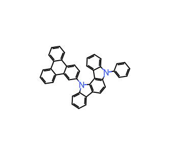 c1ccc(-n2c3ccccc3c3c2ccc2c4ccccc4n(-c4ccc5c6ccccc6c6ccccc6c5c4)c23)cc1